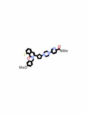 CNC(=O)c1ccc(N2CCN(C3CCC(c4cc5cccc(F)c5c(=O)n4Cc4ccc(OC)cc4)C3)CC2)cn1